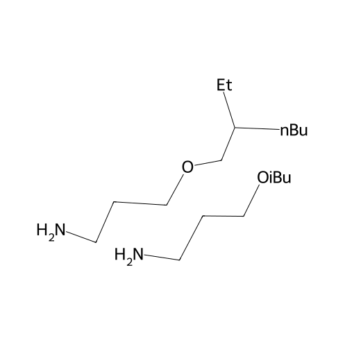 CC(C)COCCCN.CCCCC(CC)COCCCN